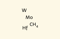 C.[Hf].[Mo].[W]